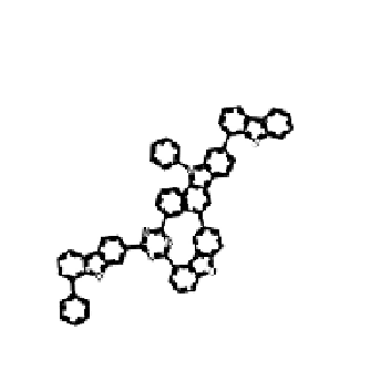 c1ccc(-c2nc(-c3ccc4c(c3)oc3c(-c5ccccc5)cccc34)nc(-c3cccc4oc5ccc(-c6ccc7c(c6)c6ccc(-c8cccc9c8sc8ccccc89)cc6n7-c6ccccc6)cc5c34)n2)cc1